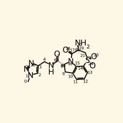 Cn1cc(CNC(=O)[C@H]2Cc3cccc4c3N2C(=O)[C@@H](N)CS4(=O)=O)nn1